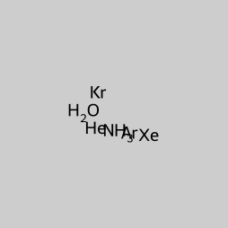 N.O.[Ar].[He].[Kr].[Xe]